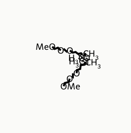 COCCOCCOCCCC[Si](C)(C)O[Si](C)(C)CCCCOCCOCCOC